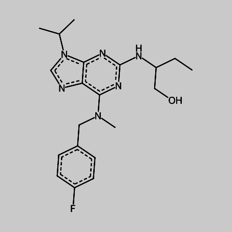 CCC(CO)Nc1nc(N(C)Cc2ccc(F)cc2)c2ncn(C(C)C)c2n1